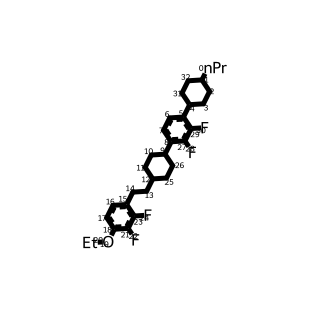 CCCC1CCC(c2ccc(C3CCC(CCc4ccc(OCC)c(F)c4F)CC3)c(F)c2F)CC1